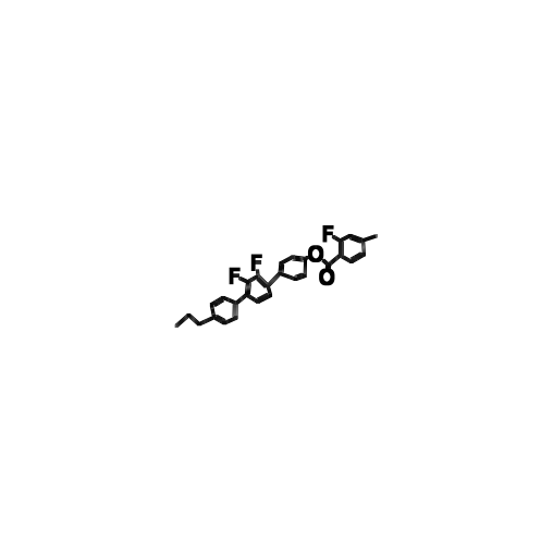 CCCc1ccc(-c2ccc(-c3ccc(OC(=O)c4ccc(C)cc4F)cc3)c(F)c2F)cc1